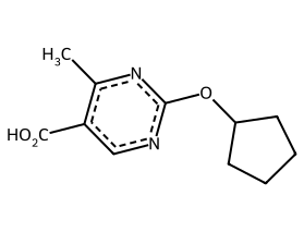 Cc1nc(OC2CCCC2)ncc1C(=O)O